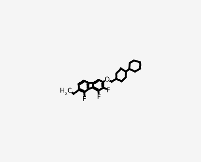 CCc1ccc2c(c1F)-c1c-2cc(OCC2CCC(C3CCCCC3)CC2)c(F)c1F